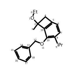 CCOC1(C)Cc2ccc(C(C)C)c(OCc3ccccc3)c21